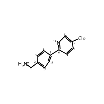 NCc1ccc(-c2ccc(Cl)cn2)cc1